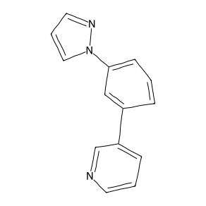 c1cncc(-c2cccc(-n3cccn3)c2)c1